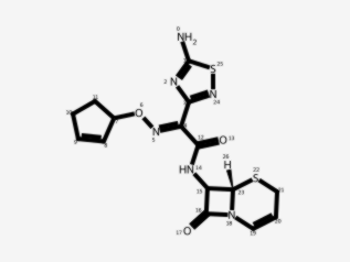 Nc1nc(C(=NOC2C=CCC2)C(=O)NC2C(=O)N3C=CCS[C@@H]23)ns1